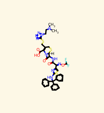 CN(C)CCn1nnnc1SCC1=C(C(=O)O)N2C(=O)C(NC(=O)C(=NOC(F)F)c3csc(NC(c4ccccc4)(c4ccccc4)c4ccccc4)n3)[C@@H]2SC1